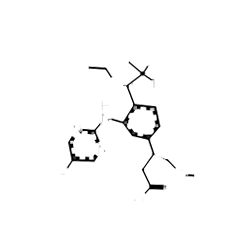 CCO[C@@H](c1ccc([C@@H](COC)CC(=O)O)cc1Nc1ncc(F)cn1)C(F)(F)F